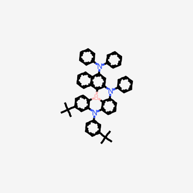 CC(C)(C)c1cccc(N2c3cc(C(C)(C)C)ccc3B3c4c2cccc4N(c2ccccc2)c2cc(N(c4ccccc4)c4ccccc4)c4ccccc4c23)c1